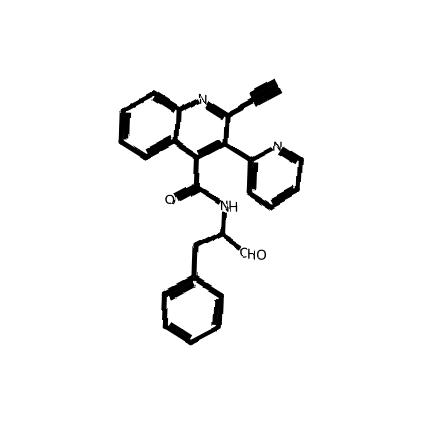 C#Cc1nc2ccccc2c(C(=O)NC(C=O)Cc2ccccc2)c1-c1ccccn1